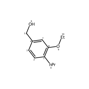 CCCc1ccc([CH]O)cc1OCC